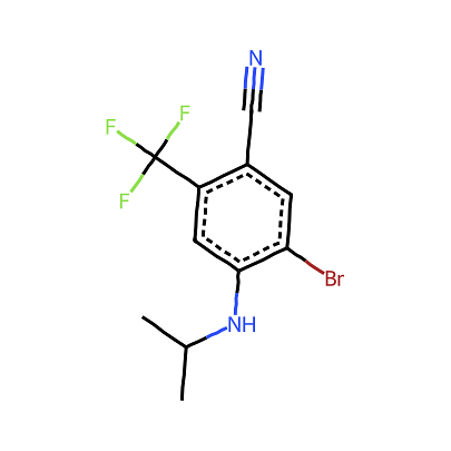 CC(C)Nc1cc(C(F)(F)F)c(C#N)cc1Br